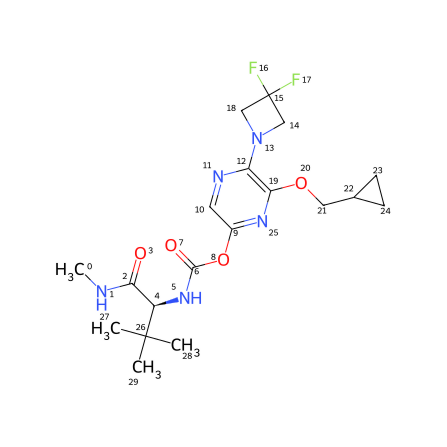 CNC(=O)[C@@H](NC(=O)Oc1cnc(N2CC(F)(F)C2)c(OCC2CC2)n1)C(C)(C)C